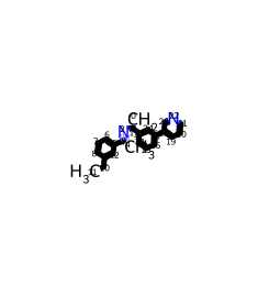 C=C(/N=C(\C)c1cccc(CC)c1)c1cccc(-c2cccnc2)c1